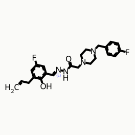 C=CCc1cc(F)cc(/C=N/NC(=O)CN2CCN(Cc3ccc(F)cc3)CC2)c1O